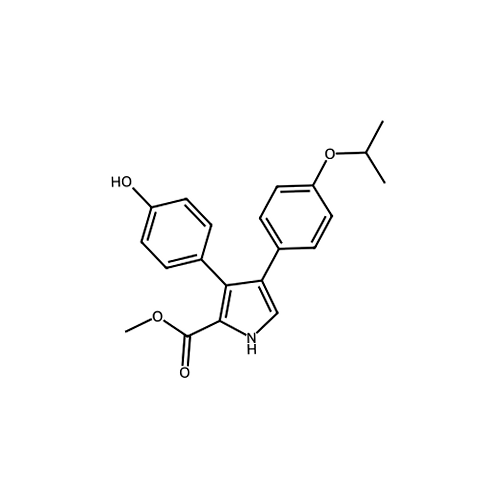 COC(=O)c1[nH]cc(-c2ccc(OC(C)C)cc2)c1-c1ccc(O)cc1